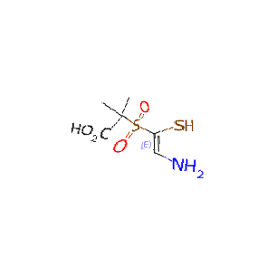 CC(C)(C(=O)O)S(=O)(=O)/C(S)=C/N